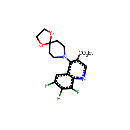 CCOC(=O)c1cnc2c(F)c(F)c(F)cc2c1N1CCC2(CC1)OCCO2